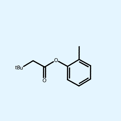 Cc1ccccc1OC(=O)CC(C)(C)C